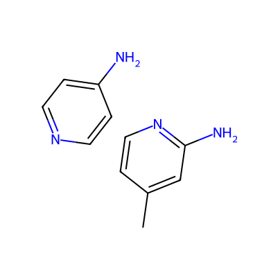 Cc1ccnc(N)c1.Nc1ccncc1